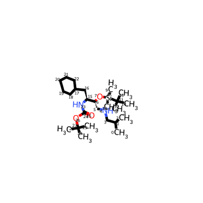 CC(C)CNC[C@@H](O[Si](C)(C)C(C)(C)C)[C@H](CC1CCCCC1)NC(=O)OC(C)(C)C